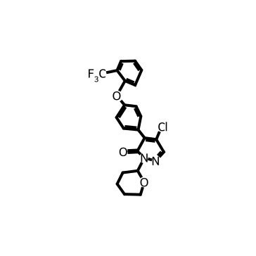 O=c1c(-c2ccc(Oc3ccccc3C(F)(F)F)cc2)c(Cl)cnn1C1CCCCO1